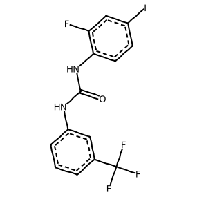 O=C(Nc1cccc(C(F)(F)F)c1)Nc1ccc(I)cc1F